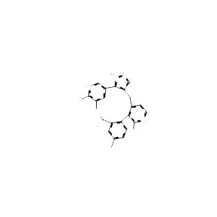 CCn1ncc2c1-c1cnc(N)c(c1)O[C@H](C)c1cc(C)ccc1-c1c(ccnc1C#N)C2